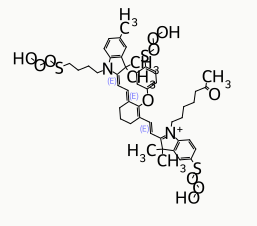 CC(=O)CCCCC[N+]1=C(/C=C/C2=C(Oc3ccc(SOOO)cc3)C(=C/C=C3/N(CCCCSOOO)c4ccc(C)cc4C3(C)C)/CCC2)C(C)(C)c2cc(SOOO)ccc21